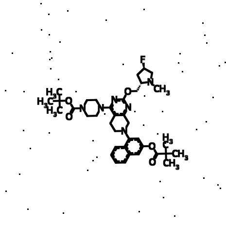 CN1C[C@H](F)C[C@H]1COc1nc2c(c(N3CCN(C(=O)OC(C)(C)C)CC3)n1)CCN(c1cc(OC(=O)C(C)(C)C)cc3ccccc13)C2